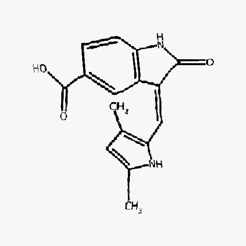 Cc1cc(C)c(C=C2C(=O)Nc3ccc(C(=O)O)cc32)[nH]1